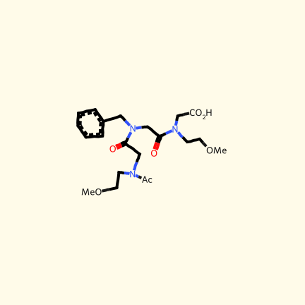 COCCN(CC(=O)N(CC(=O)N(CCOC)CC(=O)O)Cc1ccccc1)C(C)=O